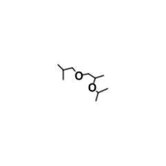 CC(C)COCC(C)OC(C)C